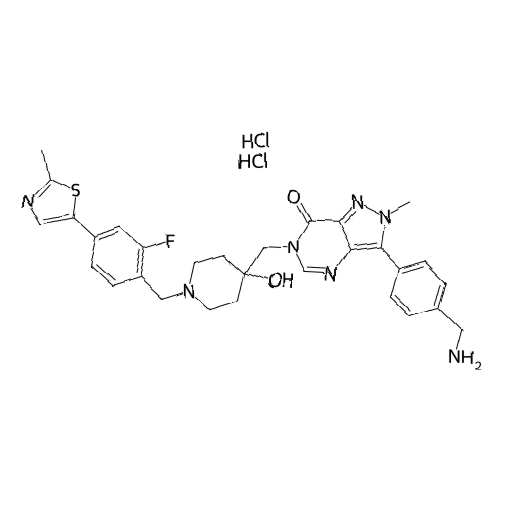 Cc1ncc(-c2ccc(CN3CCC(O)(Cn4cnc5c(-c6ccc(CN)cc6)n(C)nc5c4=O)CC3)c(F)c2)s1.Cl.Cl